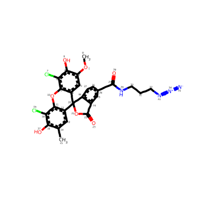 COc1cc2c(c(Cl)c1O)Oc1c(cc(C)c(O)c1Cl)C21OC(=O)c2cc(C(=O)NCCCN=[N+]=[N-])ccc21